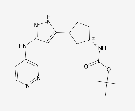 CC(C)(C)OC(=O)N[C@H]1CCC(c2cc(Nc3ccnnc3)n[nH]2)C1